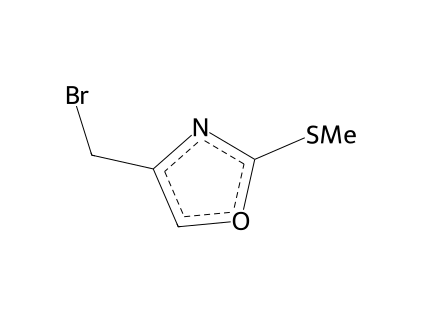 CSc1nc(CBr)co1